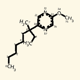 CCCCCCC(C)(CC)c1cnc(OC)cn1